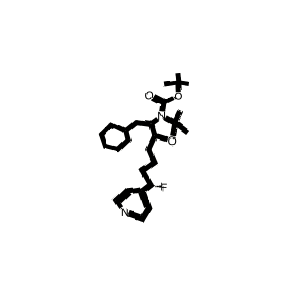 CC(C)(C)OC(=O)N1C(CC2CCCCC2)C(CCC[C@H](F)c2ccncc2)OC1(C)C